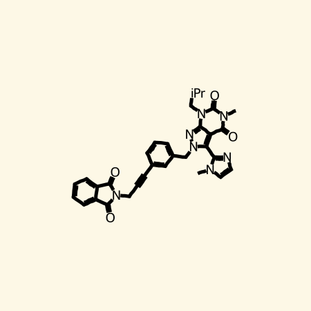 CC(C)Cn1c(=O)n(C)c(=O)c2c(-c3nccn3C)n(Cc3cccc(C#CCN4C(=O)c5ccccc5C4=O)c3)nc21